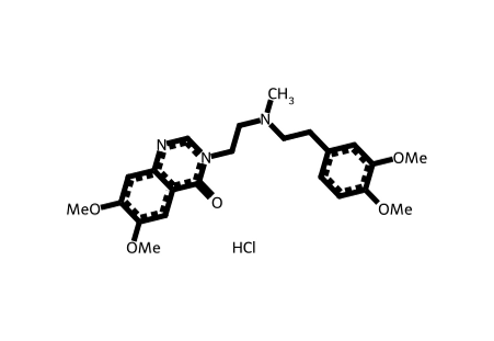 COc1ccc(CCN(C)CCn2cnc3cc(OC)c(OC)cc3c2=O)cc1OC.Cl